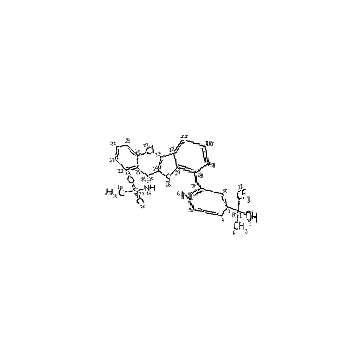 C[C@@](O)(c1ccnc(-c2cccc3cc([C@H](NS(C)(=O)=O)c4ccccc4Cl)sc23)c1)C(F)(F)F